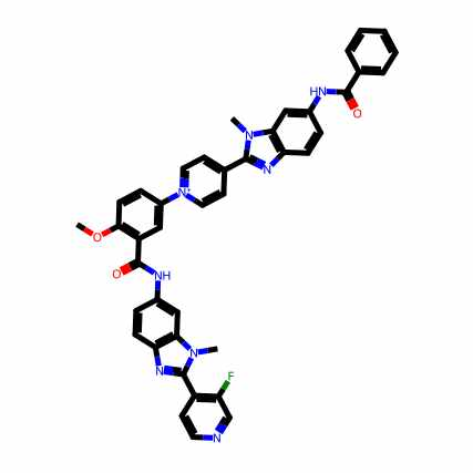 COc1ccc(-[n+]2ccc(-c3nc4ccc(NC(=O)c5ccccc5)cc4n3C)cc2)cc1C(=O)Nc1ccc2nc(-c3ccncc3F)n(C)c2c1